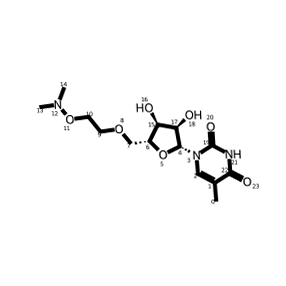 Cc1cn([C@@H]2O[C@H](COCCON(C)C)[C@@H](O)[C@H]2O)c(=O)[nH]c1=O